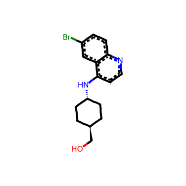 OC[C@H]1CC[C@H](Nc2[c]cnc3ccc(Br)cc23)CC1